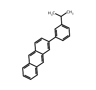 CC(C)c1cccc(-c2ccc3cc4ccccc4cc3c2)c1